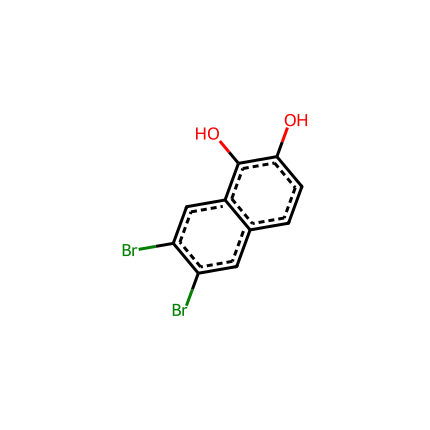 Oc1ccc2cc(Br)c(Br)cc2c1O